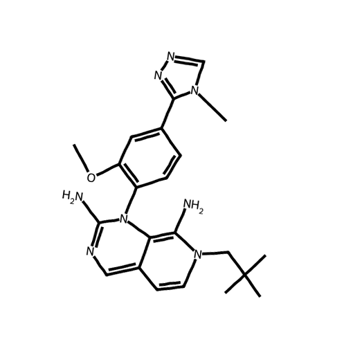 COc1cc(-c2nncn2C)ccc1N1C(N)=NC=C2C=CN(CC(C)(C)C)C(N)=C21